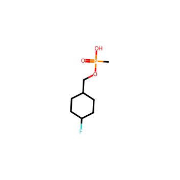 CP(=O)(O)OCC1CCC(F)CC1